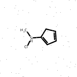 C[SiH](Cl)C1=CC=CC1